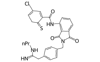 CCCNC(=N)Cc1ccc(CN2C(=O)c3cccc(NC(=O)C4=CC(Cl)=CCC4=S)c3C2=O)cc1